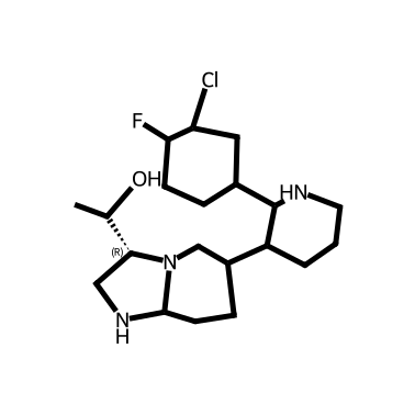 CC(O)[C@H]1CNC2CCC(C3CCCNC3C3CCC(F)C(Cl)C3)CN21